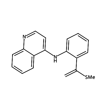 C=C(SC)c1ccccc1Nc1ccnc2ccccc12